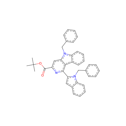 CC(C)(C)OC(=O)c1cc2c(c(-c3cc4ccccc4n3Cc3ccccc3)n1)c1ccccc1n2Cc1ccccc1